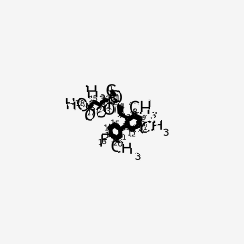 COP(=O)(C=Cc1c(C)cc(C)cc1-c1ccc(F)c(C)c1)CC(=O)CC(=O)O